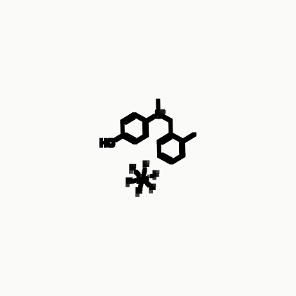 Cc1ccccc1C[S+](C)c1ccc(O)cc1.[F][Sb-]([F])([F])([F])([F])[F]